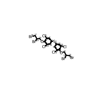 Clc1cc(Sc2cc(Cl)c(OCC(Br)CBr)c(Cl)c2)cc(Cl)c1OCC(Br)CBr